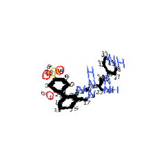 COc1cc(S(C)(=O)=O)ccc1-c1cccc2cnc(N/C(C=N)=C/NC3CCNCC3)nc12